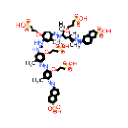 CC1=C(N=N/C(=C/C(C)=C(\C)N=Nc2ccc3cc(S(=O)(=O)O)ccc3c2)C(C)OCCCS(=O)(=O)O)CC=C(OCCCS(=O)(=O)O)C(NCNc2cc(C)c(N=Nc3cc(C)c(N=Nc4ccc5cc(S(=O)(=O)O)ccc5c4)cc3OCCCS(=O)(=O)O)cc2OCCCS(=O)(=O)O)=C1